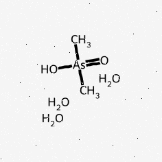 C[As](C)(=O)O.O.O.O